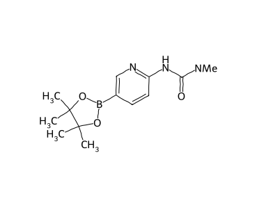 CNC(=O)Nc1ccc(B2OC(C)(C)C(C)(C)O2)cn1